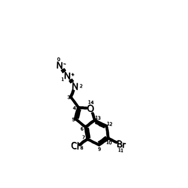 [N-]=[N+]=NCc1cc2c(Cl)cc(Br)cc2o1